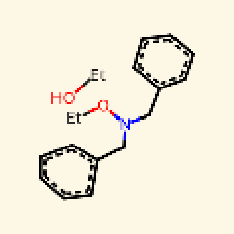 CCO.CCON(Cc1ccccc1)Cc1ccccc1